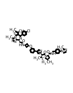 Cc1sc2c(c1C)C(c1ccc(Cl)cc1)=N[C@@H](CC(=O)N[C@H]1C[C@@H](Oc3cccc(-c4cnn([C@@H](C(=O)N5C[C@H](C)C[C@H]5C(=O)NCc5ccc(-n6ccnc6C)cc5)C(C)C)c4)c3)C1)c1nnc(C)n1-2